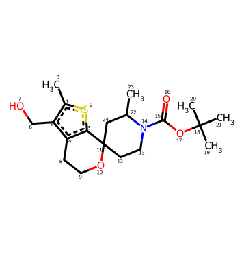 Cc1sc2c(c1CO)CCOC21CCN(C(=O)OC(C)(C)C)C(C)C1